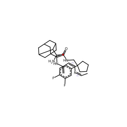 C=C(/C=C\N=C/C)NC(=O)C12CC3CC(C1)C(C(N)C(=O)NCC1(c4ccc(F)c(F)c4)CCCC1)C(C3)C2